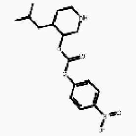 CC(C)CC1CCNCC1OC(=O)Oc1ccc([N+](=O)[O-])cc1